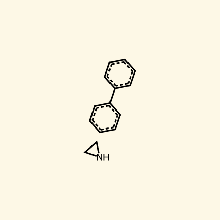 C1CN1.c1ccc(-c2ccccc2)cc1